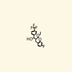 CCOC(=O)C(Cc1ccc(F)cc1)C(O)c1ccc(C(F)(F)F)cc1